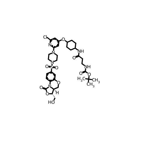 CC(C)(C)OC(=O)NCCC(=O)NC1CCC(Oc2cc(Cl)nc(N3CCN(S(=O)(=O)c4ccc5c(c4)OC[C@H]4[C@H](CO)OC(=O)N54)CC3)c2)CC1